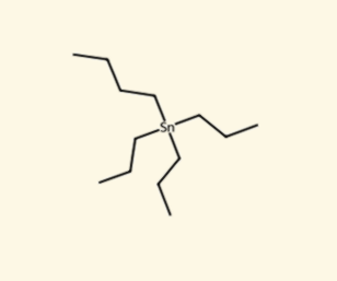 CCC[CH2][Sn]([CH2]CC)([CH2]CC)[CH2]CC